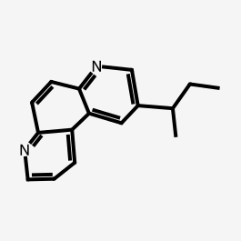 CCC(C)c1cnc2ccc3ncccc3c2c1